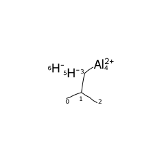 CC(C)[CH2][Al+2].[H-].[H-]